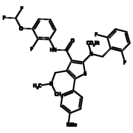 CCOC(=O)N(Cc1c(F)cccc1F)c1sc(-c2ccc(NC)cc2)c(CN(C)C)c1C(=O)Nc1cccc(OC(F)F)c1F